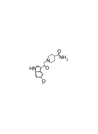 COc1ccc2[nH]cc(C(=O)CN3CCC(C(N)=O)CC3)c2c1